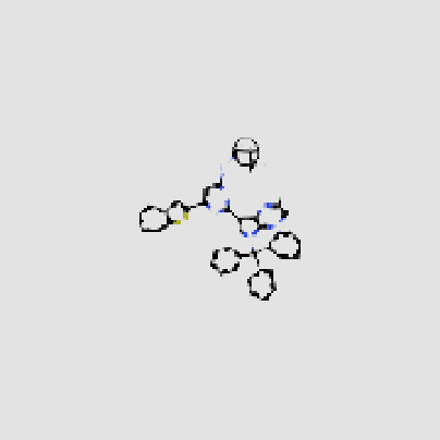 CCOC(=O)[C@@H]1C2CCC(CC2)[C@H]1Nc1cc(-c2cc3ccccc3s2)nc(-c2cn(C(c3ccccc3)(c3ccccc3)c3ccccc3)c3ncc(Cl)nc23)n1